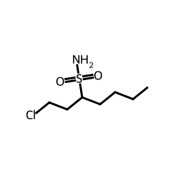 CCCCC(CCCl)S(N)(=O)=O